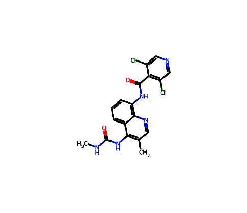 CNC(=O)Nc1c(C)cnc2c(NC(=O)c3c(Cl)cncc3Cl)cccc12